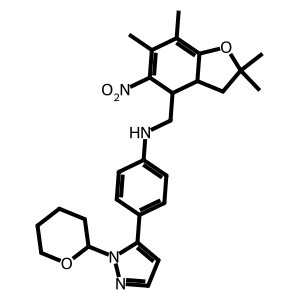 CC1=C2OC(C)(C)CC2C(CNc2ccc(-c3ccnn3C3CCCCO3)cc2)C([N+](=O)[O-])=C1C